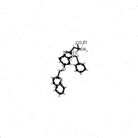 CCOC(=O)C(C)(C)Cc1nc2ccc(OCc3ccc4ccccc4n3)cc2n1Cc1ccccc1